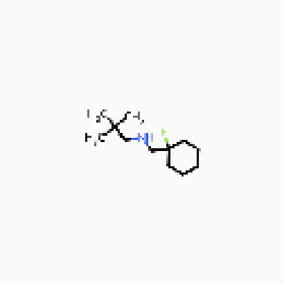 CC(C)(C)CNCC1(F)CCCCC1